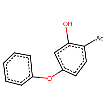 CC(=O)c1ccc(Oc2ccccc2)cc1O